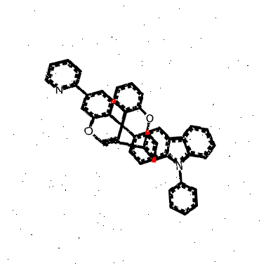 c1ccc(-n2c3ccccc3c3ccc(-c4cccc5c4C4(c6ccccc6Oc6ccccc64)c4ccc(-c6ccccn6)cc4O5)cc32)cc1